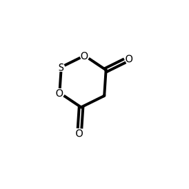 O=C1CC(=O)OSO1